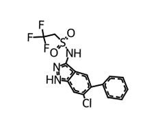 O=S(=O)(CC(F)(F)F)Nc1n[nH]c2cc(Cl)c(-c3ccccc3)cc12